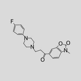 Cn1c(=O)oc2cc(C(=O)CCN3CCN(c4ccc(F)cc4)CC3)ccc21